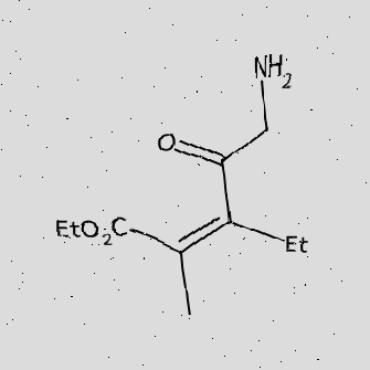 CCOC(=O)C(C)=C(CC)C(=O)CN